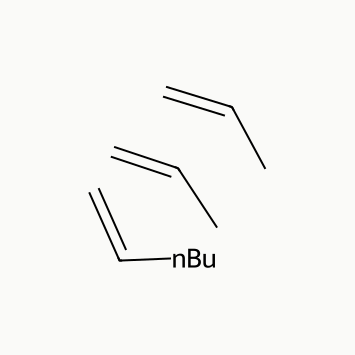 C=CC.C=CC.C=CCCCC